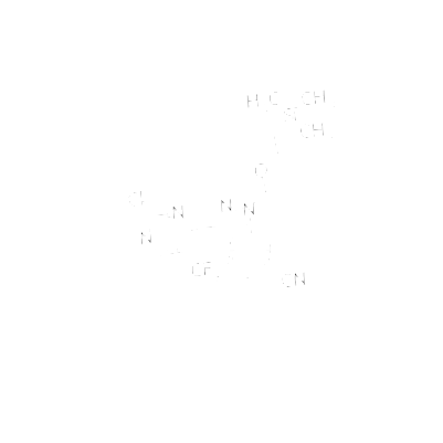 C[Si](C)(C)CCOCn1nc(-c2nc(Cl)ncc2C(F)(F)F)c2ccc(C#N)cc21